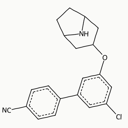 N#Cc1ccc(-c2cc(Cl)cc(OC3CC4CCC(C3)N4)c2)cc1